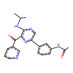 CC(=O)Nc1cccc(-c2cnc(NC(C)C)c(C(=O)c3cccnc3)n2)c1